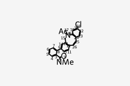 CNC(=O)c1ccccc1-c1ccc2c(c1)CN(C(C)=O)c1cc(Cl)ccc1C=C2